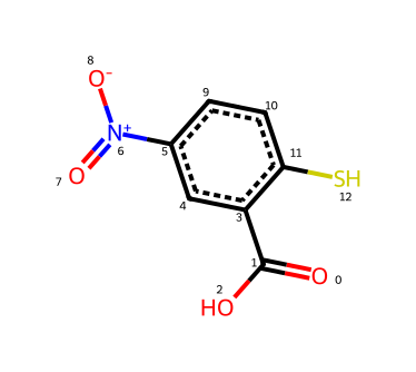 O=C(O)c1cc([N+](=O)[O-])ccc1S